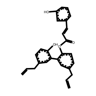 C=CCc1ccc(O)c(-c2cc(CC=C)ccc2OC(=O)/C=C/c2cccc(O)c2)c1